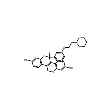 CC1(c2cccc(OCCN3CCCCC3)c2)Oc2cc(O)ccc2C2=C1c1ccc(O)cc1OC2